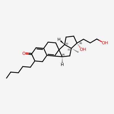 CCCCCC1CC2=C3[C@@H]4C[C@@]5(C)[C@@H](CC[C@@]5(O)CCCO)C34CCC2=CC1=O